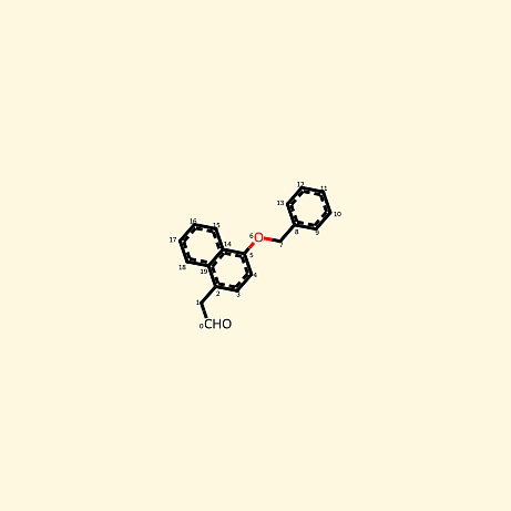 O=CCc1ccc(OCc2ccccc2)c2ccccc12